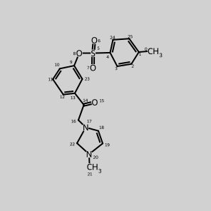 Cc1ccc(S(=O)(=O)Oc2cccc(C(=O)CN3C=CN(C)C3)c2)cc1